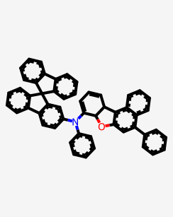 C1=CC2c3c(cc(-c4ccccc4)c4ccccc34)OC2C(N(c2ccccc2)c2ccc3c(c2)C2(c4ccccc4-c4ccccc42)c2ccccc2-3)=C1